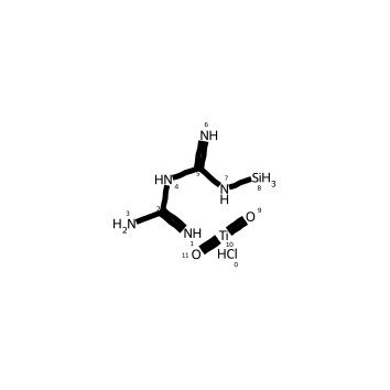 Cl.N=C(N)NC(=N)N[SiH3].[O]=[Ti]=[O]